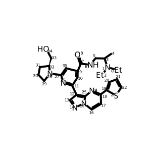 CCN(CC)C(C)CNC(=O)c1cc(-c2cnn3ccc(-c4cccs4)nc23)nc(N2CCC[C@H]2CO)c1